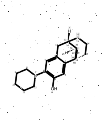 Oc1cc2c(cc1N1CCCCC1)C[C@@H]1NCC[C@]23CCCC[C@H]13